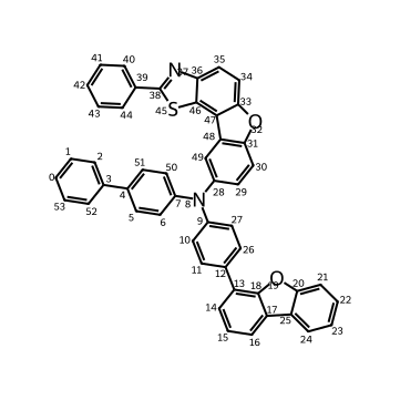 c1ccc(-c2ccc(N(c3ccc(-c4cccc5c4oc4ccccc45)cc3)c3ccc4oc5ccc6nc(-c7ccccc7)sc6c5c4c3)cc2)cc1